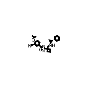 CC(C)Oc1ccc(-c2nc(C3(CN[C@H]4C[C@@H]4c4ccccc4)CCC3)no2)cc1C#N